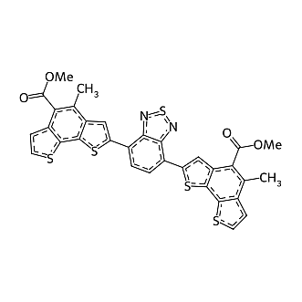 COC(=O)c1c(C)c2cc(-c3ccc(-c4cc5c(C(=O)OC)c(C)c6ccsc6c5s4)c4nsnc34)sc2c2sccc12